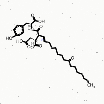 CCCCCCCC(=O)CCCCCC/C=C/C(C(=O)N[C@@H](Cc1ccc(O)cc1)C(=O)O)[C@@H](CC(=O)O)C(=O)O